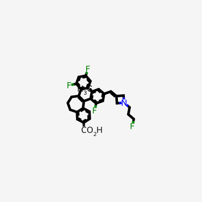 Cc1cc(C=C2CN(CCCF)C2)cc(F)c1C1=C(c2ccc(F)cc2F)CCCc2cc(C(=O)O)ccc21